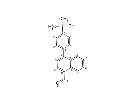 CC(C)(C)c1ccc(-c2ccc(C=O)c3ccccc23)cc1